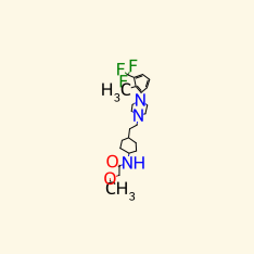 COCC(=O)NC1CCC(CCN2CCN(c3cccc(C(F)(F)F)c3C)CC2)CC1